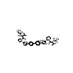 COC(=O)N[C@H](C(=O)N1CCC[C@H]1c1ncc(-c2ccc(-c3ccc(-c4cnc([C@@H]5CCCN5C(=O)[C@@H](NC(=O)CO)C(C)C)[nH]4)cc3)cc2)[nH]1)C(C)C